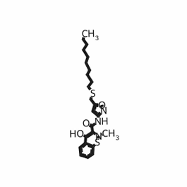 CCCCCCCCCCSCc1cc(NC(=O)C2=C(O)c3ccccc3SN2C)no1